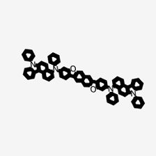 c1ccc(N(c2ccc3c(c2)oc2cc4cc5c(cc4cc23)oc2cc(N(c3ccccc3)c3cccc4c3ccc3c4c4ccccc4n3-c3ccccc3)ccc25)c2cccc3c2ccc2c3c3ccccc3n2-c2ccccc2)cc1